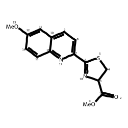 COC(=O)C1CSC(c2ccc3cc(OC)ccc3n2)=N1